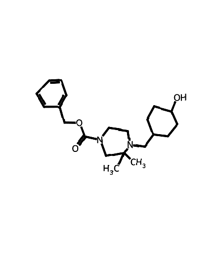 CC1(C)CN(C(=O)OCc2ccccc2)CCN1CC1CCC(O)CC1